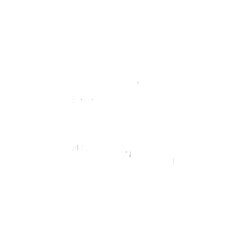 CCOC(=O)c1c(Cl)cc(Cl)nc1C=O